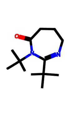 CC(C)(C)C1=NCCCC(=O)N1C(C)(C)C